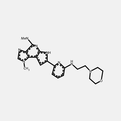 CNc1nc2[nH]c(-c3cccc(NCCN4CCOCC4)n3)cc2c2c1ncn2C